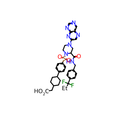 CCC(F)(F)c1ccc(CNC(=O)C2CN(c3cnc4cncnc4n3)CCN2S(=O)(=O)c2ccc(C3CCC(CC(=O)O)CC3)cc2)cc1